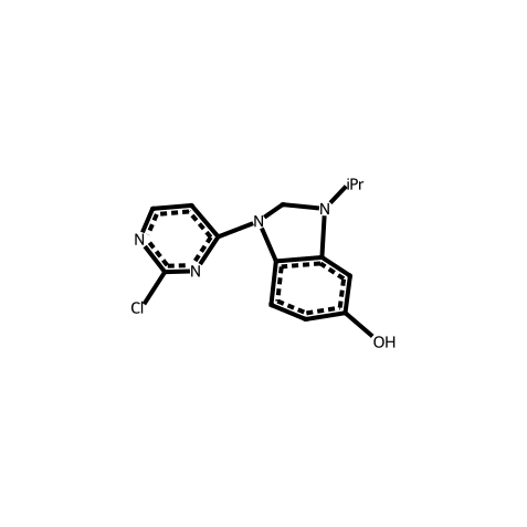 CC(C)N1CN(c2ccnc(Cl)n2)c2ccc(O)cc21